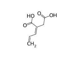 C=CC=C(CC(=O)O)C(=O)O